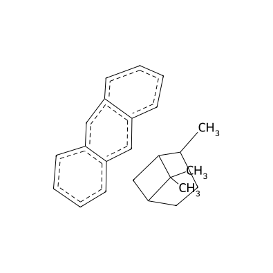 CC1CCC2CC1C2(C)C.c1ccc2cc3ccccc3cc2c1